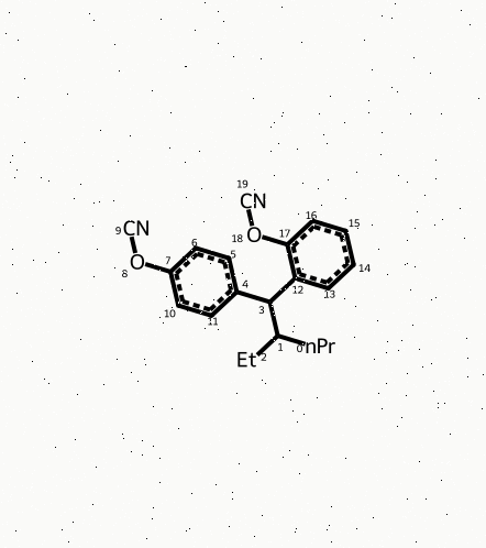 CCCC(CC)C(c1ccc(OC#N)cc1)c1ccccc1OC#N